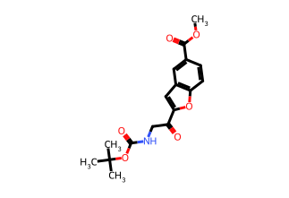 COC(=O)c1ccc2oc(C(=O)CNC(=O)OC(C)(C)C)cc2c1